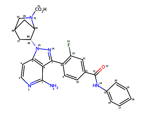 Nc1nccc2c1c(-c1ccc(C(=O)Nc3ccccc3)cc1F)nn2[C@@H]1CC2CC1N(C(=O)O)C2